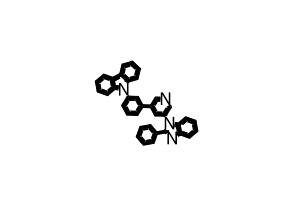 c1ccc(-c2nc3ccccc3n2-c2cncc(-c3cccc(-n4c5ccccc5c5ccccc54)c3)c2)cc1